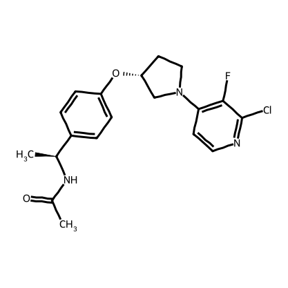 CC(=O)N[C@@H](C)c1ccc(O[C@@H]2CCN(c3ccnc(Cl)c3F)C2)cc1